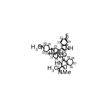 CN[C@@H](C)C(=O)N[C@H](C(=O)N1CC[C@@H]2[C@H]1[C@@H](c1c[nH]c3cc(F)ccc13)CN2C1CCN(C)CC1)C1CCCCC1